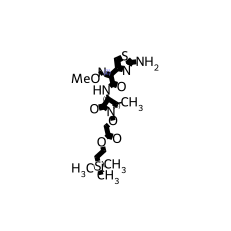 CO/N=C(\C(=O)N[C@@H]1C(=O)N(OCC(=O)OCC[Si](C)(C)C)[C@H]1C)c1csc(N)n1